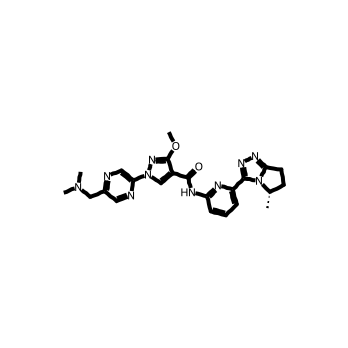 COc1nn(-c2cnc(CN(C)C)cn2)cc1C(=O)Nc1cccc(-c2nnc3n2[C@@H](C)CC3)n1